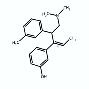 [CH2]c1cccc(C(CN(C)C)/C(=C\C)c2cccc(O)c2)c1